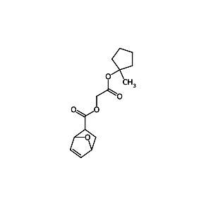 CC1(OC(=O)COC(=O)C2CC3C=CC2O3)CCCC1